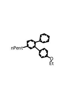 CCCCCc1ccc(-c2ccccc2)c(-c2ccc(OCC)cc2)c1